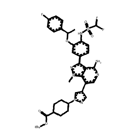 CC(Oc1cc(-c2nn(C)c3c(-c4cnn(C5CCC(C(=O)OC(C)(C)C)CC5)c4)cnc(N)c23)ccc1NS(=O)(=O)C(F)F)c1ccc(F)cc1